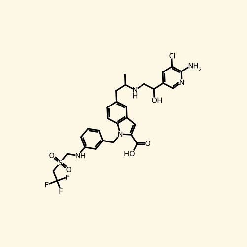 CC(Cc1ccc2c(c1)cc(C(=O)O)n2Cc1cccc(NCS(=O)(=O)CC(F)(F)F)c1)NCC(O)c1cnc(N)c(Cl)c1